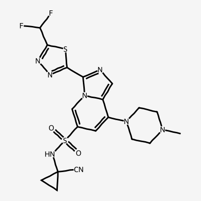 CN1CCN(c2cc(S(=O)(=O)NC3(C#N)CC3)cn3c(-c4nnc(C(F)F)s4)ncc23)CC1